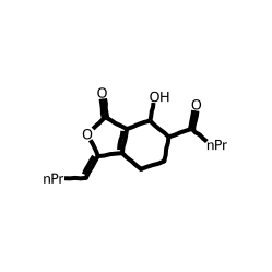 CCC/C=C1\OC(=O)C2=C1CCC(C(=O)CCC)C2O